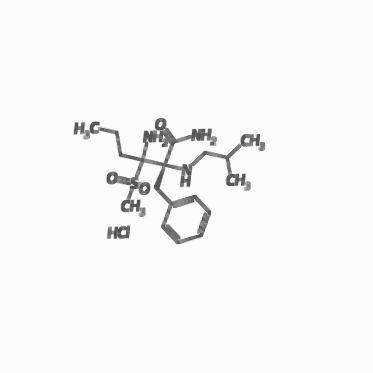 CCCC(N)([C@@](Cc1ccccc1)(NCC(C)C)C(N)=O)S(C)(=O)=O.Cl